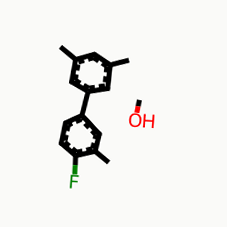 CO.Cc1cc(C)cc(-c2ccc(F)c(C)c2)c1